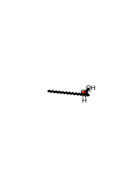 CCCCCCCCCCCCCCCCCCCCCC(=O)NC(CC)[N+](C)(C)CCO